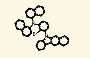 Brc1c(N(c2cccc3ccccc23)c2cccc3ccccc23)cccc1-n1c2ccccc2c2cc3ccccc3cc21